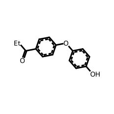 CCC(=O)c1ccc(Oc2ccc(O)cc2)cc1